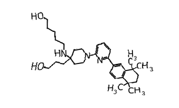 CC1(C)CCC(C)(C)c2cc(-c3cccc(N4CCC(CCCO)(NCCCCCO)CC4)n3)ccc21